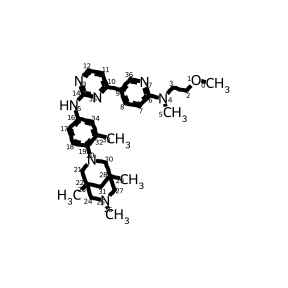 COCCN(C)c1ccc(-c2ccnc(Nc3ccc(N4CC5(C)CN(C)CC(C)(C4)C5)c(C)c3)n2)cn1